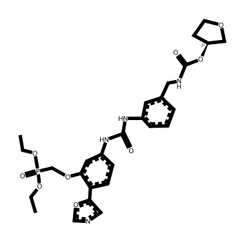 CCOP(=O)(COc1cc(NC(=O)Nc2cccc(CNC(=O)O[C@H]3CCOC3)c2)ccc1-c1cnco1)OCC